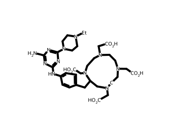 CCN1CCN(c2nc(N)nc(Nc3ccc(CC4CN(CC(=O)O)CCN(CC(=O)O)CCN(CC(=O)O)CCN4CC(=O)O)cc3)n2)CC1